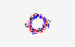 C/C=C/C[C@@H](C)[C@H](O)[C@H]1C(=O)N[C@@H](CC)C(=O)N(C)CC(=O)N(C)[C@@H](CC(C)C)C(=O)N[C@@H](C(C)C)C(=O)N(C)[C@@H](CC(C)C)C(=O)N[C@@H](C)C(=O)N[C@H](C)C(=O)N(C)[C@H](CC(C)C)C(=O)N(C)C(CC(C)C)C(=O)N(C)[C@H](C(C)C)C(=O)N1C